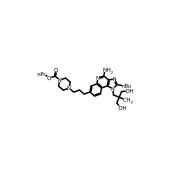 CCCCc1nc2c(N)nc3cc(CCCN4CCN(C(=O)OCCC)CC4)ccc3c2n1CC(C)(CO)CO